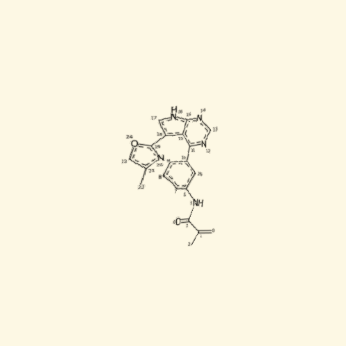 C=C(C)C(=O)Nc1cccc(-c2ncnc3[nH]cc(-c4nc(C)co4)c23)c1